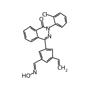 C=Cc1cc(/C=N/O)cc(-c2nn(-c3ccccc3Cl)c(=O)c3ccccc23)c1